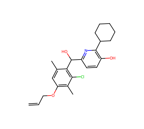 C=CCOc1cc(C)c(C(O)c2ccc(O)c(C3CCCCC3)n2)c(Cl)c1C